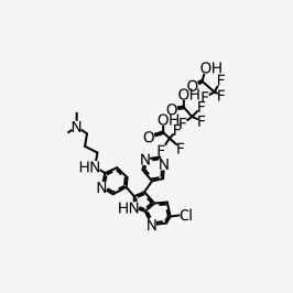 CN(C)CCCNc1ccc(-c2[nH]c3ncc(Cl)cc3c2-c2cncnc2)cn1.O=C(O)C(F)(F)F.O=C(O)C(F)(F)F.O=C(O)C(F)(F)F